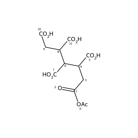 CC(=O)OC(=O)CC(C(=O)O)C(C(=O)O)C(CC(=O)O)C(=O)O